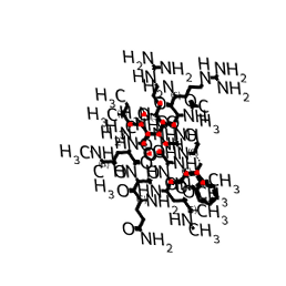 CC[C@H](C)C(N)C(=O)C(NC(=O)C(NC(=O)C(NC(C)=O)C(=O)[C@@H](N)CCCNC(N)N)N[C@H](C=O)Cc1c[nH]c2ccccc12)C(=O)NC(CC(=O)[C@H](C)NC)C(=O)NC(C(=O)NC(CC(=O)[C@H](C)NC)C(=O)NC(N[C@H](C=O)CC(C)C)C(=O)NC(C(=O)NC)C(=O)[C@@H](N)CCCNC(N)N)C(=O)[C@@H](N)CCC(N)=O